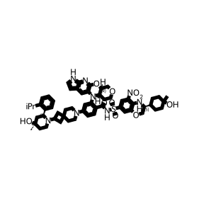 CC(C)c1ccccc1[C@@H]1C[C@](C)(O)CCN1C1CC2(CCN(c3ccc(C(=O)NS(=O)(=O)c4cc5c(c([N+](=O)[O-])c4)N[C@@H](C4CCC(C)(O)CC4)CO5)c(N4c5cc6cc[nH]c6nc5O[C@H]5COCC[C@@H]54)c3)CC2)C1